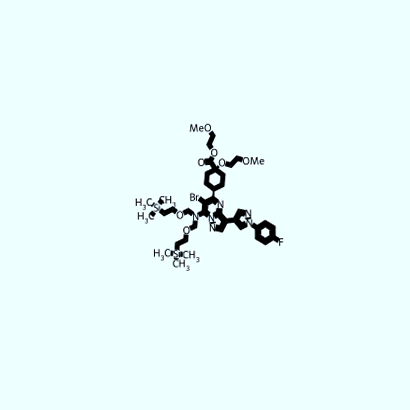 COCCOC(=O)[C@]1(OCCOC)CC[C@@H](c2nc3c(-c4cnn(-c5ccc(F)cc5)c4)cnn3c(N(COCC[Si](C)(C)C)COCC[Si](C)(C)C)c2Br)CC1